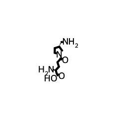 NC[C@H]1CCN(C(=O)CC[C@H](N)C(=O)O)C1